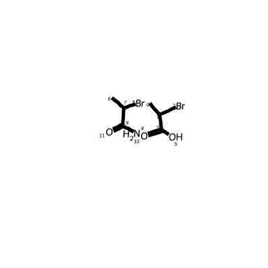 CC(Br)C(=O)O.CC(Br)C(N)=O